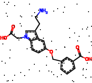 NCCc1cn(CC(=O)O)c2ccc(OCc3cccc(C(=O)O)c3)cc12